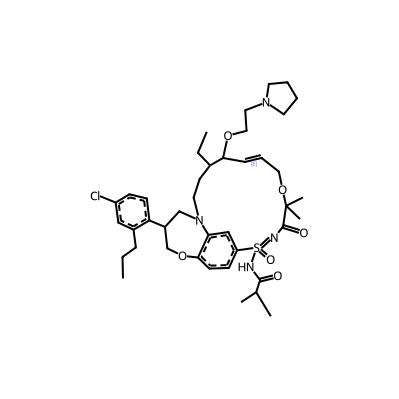 CCCc1cc(Cl)ccc1C1COc2ccc3cc2N(CCC(CC)C(OCCN2CCCC2)/C=C/COC(C)(C)C(=O)N=S3(=O)NC(=O)C(C)C)C1